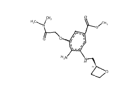 COC(=O)c1cc(NC[C@@H]2CCO2)c(N)c(OCC(=O)N(C)C)c1